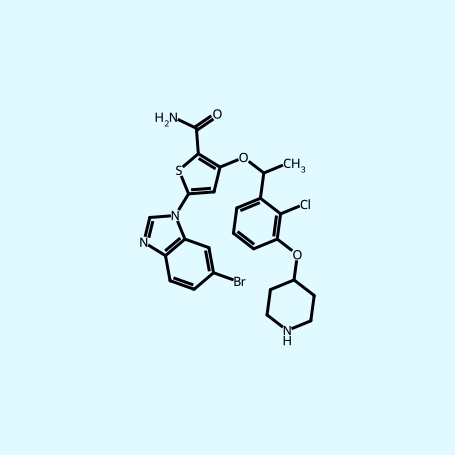 CC(Oc1cc(-n2cnc3ccc(Br)cc32)sc1C(N)=O)c1cccc(OC2CCNCC2)c1Cl